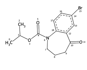 CC(C)OC(=O)N1CCCC(=O)c2cc(Br)ccc21